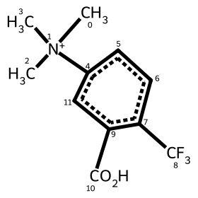 C[N+](C)(C)c1ccc(C(F)(F)F)c(C(=O)O)c1